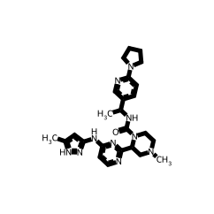 Cc1cc(Nc2ccnc(C3CN(C)CCN3C(=O)NC(C)c3ccc(N4CCCC4)nc3)n2)n[nH]1